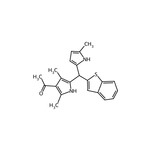 CC(=O)c1c(C)[nH]c(C(c2ccc(C)[nH]2)c2cc3ccccc3s2)c1C